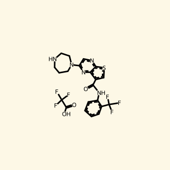 O=C(Nc1ccccc1C(F)(F)F)c1csc2ncc(N3CCCNCC3)nc12.O=C(O)C(F)(F)F